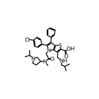 CC(C)CNCc1c(C(=O)O)sc2c(-c3ccccc3)c(-c3ccc(Cl)cc3)n(CC(=O)N(C)C3CCN(C(C)C)C3)c12